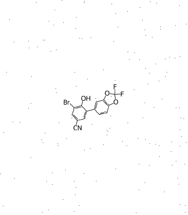 N#Cc1cc(Br)c(O)c(-c2ccc3c(c2)OC(F)(F)O3)c1